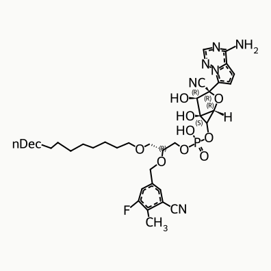 CCCCCCCCCCCCCCCCCCOC[C@H](COP(=O)(O)OC1[C@H]2O[C@@](C#N)(c3ccc4c(N)ncnn34)[C@H](O)[C@@]12O)OCc1cc(F)c(C)c(C#N)c1